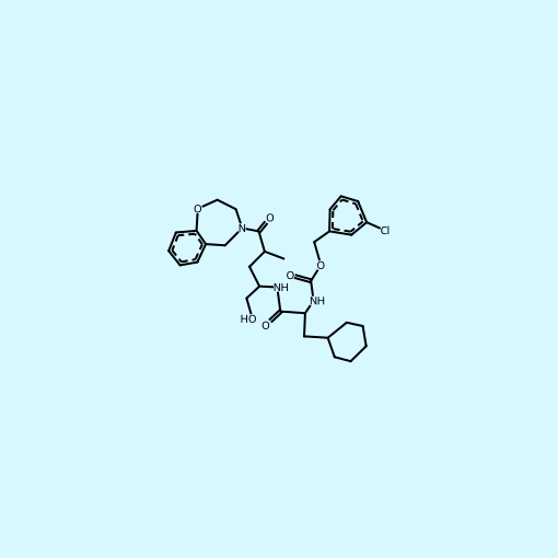 CC(CC(CO)NC(=O)C(CC1CCCCC1)NC(=O)OCc1cccc(Cl)c1)C(=O)N1CCOc2ccccc2C1